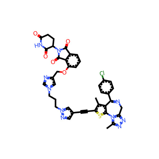 Cc1c(C#Cc2cnn(CCCn3cnc(COc4cccc5c4C(=O)N(C4CCC(=O)NC4=O)C5=O)c3)c2)sc2c1C(c1ccc(Cl)cc1)=NCc1nnc(C)n1-2